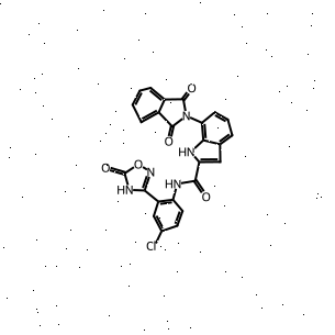 O=C(Nc1ccc(Cl)cc1-c1noc(=O)[nH]1)c1cc2cccc(N3C(=O)c4ccccc4C3=O)c2[nH]1